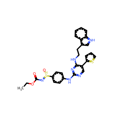 CCOC(=O)/N=[SH](=O)/c1ccc(Nc2ncc(-c3cccs3)c(NCCc3c[nH]c4ccccc34)n2)cc1